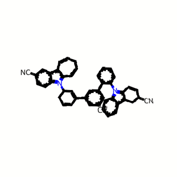 N#Cc1cc(C2=CC(n3c4c(c5cc(C#N)ccc53)C=CCC=C4)CC=C2)cc(-c2ccccc2-n2c3c(c4ccccc42)CC(C#N)C=C3)c1